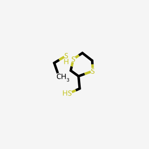 CCS.SCC1CSCCS1